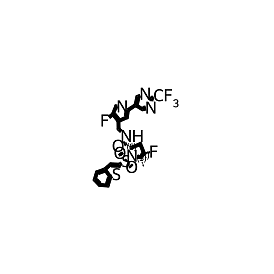 C[C@H]1[C@H](F)C[C@@H](C(=O)NCc2cc(-c3cnc(C(F)(F)F)nc3)ncc2F)N1S(=O)(=O)c1cc2ccccc2s1